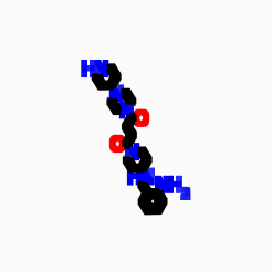 Nc1ccccc1CNC1CCN(C(=O)CCC(=O)N2CCN(C3CCNCC3)CC2)CC1